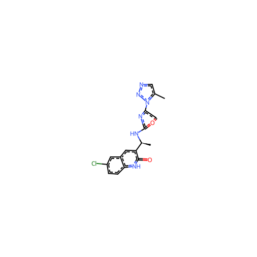 Cc1cnnn1-c1coc(N[C@@H](C)c2cc3cc(Cl)ccc3[nH]c2=O)n1